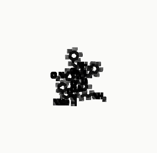 CN[C@@H](Cc1ccccc1)C(=O)N[C@@H](CCCCN)C(=O)N1CCC[C@H]1C(=O)C(NC(=O)[C@@H](N)CC1CCCCC1)(C(=O)[C@H](N)CC1CCCCC1)c1ccc([N+](=O)[O-])cc1